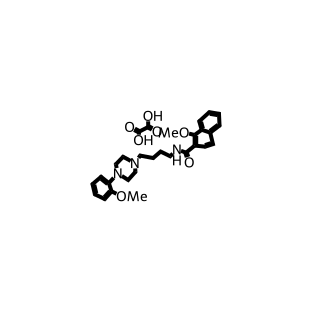 COc1ccccc1N1CCN(CCCCNC(=O)c2ccc3ccccc3c2OC)CC1.O=C(O)C(=O)O